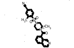 Cc1cc(C#N)ccc1S(=O)(=O)N1CCN(C(=O)c2cccc3ccncc23)[C@@H](C)C1